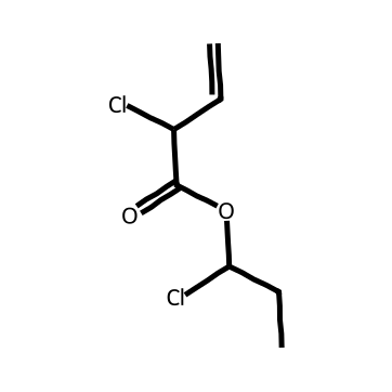 C=CC(Cl)C(=O)OC(Cl)CC